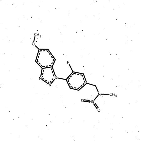 COc1ccc2c(c1)nnn2-c1ccc(CN(C)[SH](=O)=O)cc1F